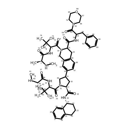 CN[C@@H](C)C(=O)NC(C(=O)N1Cc2cc(C3C[C@@H](C(=O)N[C@@H]4CCCc5ccccc54)N(C(=O)C(NC(=O)[C@H](C)NC)C(C)(C)C)C3)ccc2CC1C(=O)NC(Cc1ccccc1)C(=O)N1CCOCC1)C(C)(C)C